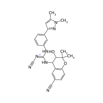 Cc1cc(-c2cccc(N/C(=N/C#N)NC3c4cc(C#N)ccc4OC(C)(C)C3O)c2)nn1C